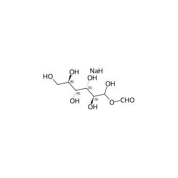 O=COC(O)[C@@H](O)[C@@H](O)[C@H](O)[C@H](O)CO.[NaH]